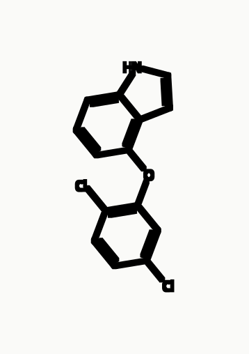 Clc1ccc(Cl)c(Oc2cccc3[nH]ccc23)c1